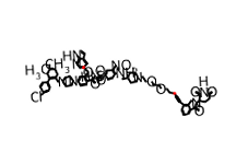 CC1(C)CCC(CN2CCN(c3ccc(C(=O)NS(=O)(=O)c4ccc(NCC5CCN(CCOCCOCCCC#Cc6cccc7c6CN(C6CCC(=O)NC6=O)C7=O)CC5)c([N+](=O)[O-])c4)c(Oc4cnc5[nH]ccc5c4)c3)CC2)=C(c2ccc(Cl)cc2)C1